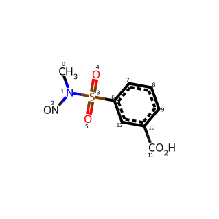 CN(N=O)S(=O)(=O)c1cccc(C(=O)O)c1